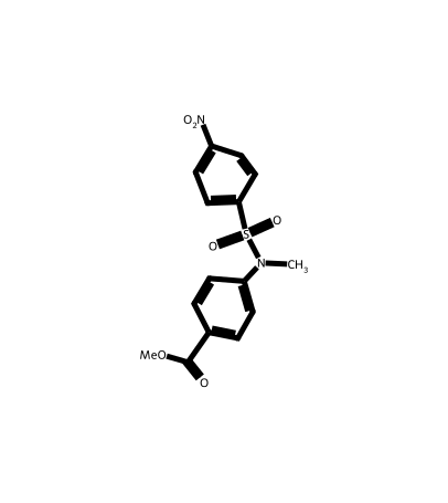 COC(=O)c1ccc(N(C)S(=O)(=O)c2ccc([N+](=O)[O-])cc2)cc1